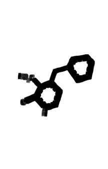 O=C(O)c1c(Cc2ccccc2)cc[nH]c1=O